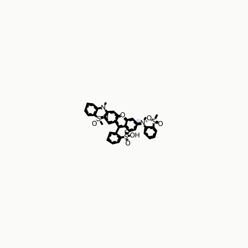 CN(c1ccc2c(-c3ccccc3S(=O)(=O)O)c3cc/c(=[N+](/C)c4ccccc4S(C)(=O)=O)cc-3oc2c1)c1ccccc1S(C)(=O)=O